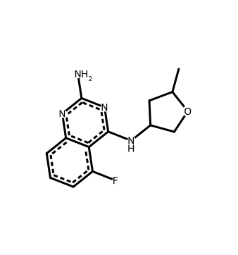 CC1CC(Nc2nc(N)nc3cccc(F)c23)CO1